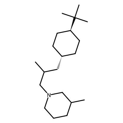 CC1CCCN(CC(C)C[C@H]2CC[C@H](C(C)(C)C)CC2)C1